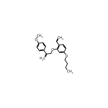 C=Cc1ccc(OCCCC)cc1OCC(=C)c1ccc(OC)cc1